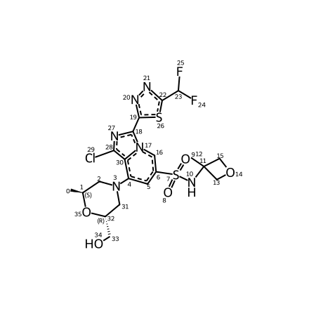 C[C@H]1CN(c2cc(S(=O)(=O)NC3(C)COC3)cn3c(-c4nnc(C(F)F)s4)nc(Cl)c23)C[C@H](CO)O1